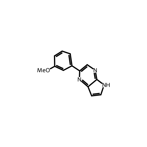 COc1cccc(-c2cnc3[nH]ccc3n2)c1